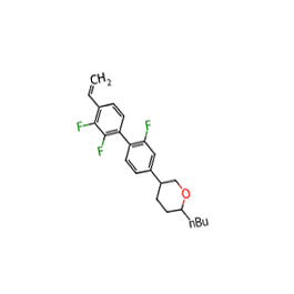 C=Cc1ccc(-c2ccc(C3CCC(CCCC)OC3)cc2F)c(F)c1F